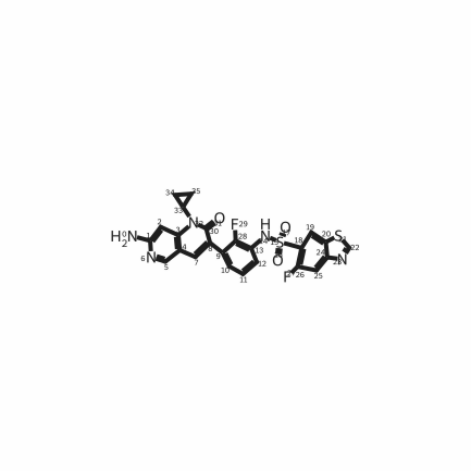 Nc1cc2c(cn1)cc(-c1cccc(NS(=O)(=O)c3cc4scnc4cc3F)c1F)c(=O)n2C1CC1